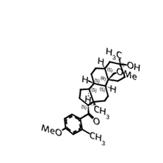 COC[C@]12CC[C@@](C)(O)C[C@@H]1CC[C@H]1[C@@H]3CC[C@H](C(=O)c4ccc(OC)cc4C)[C@@]3(C)CC[C@@H]12